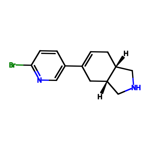 Brc1ccc(C2=CC[C@@H]3CNC[C@@H]3C2)cn1